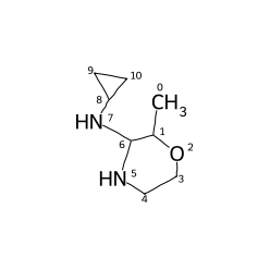 CC1OCCNC1NC1CC1